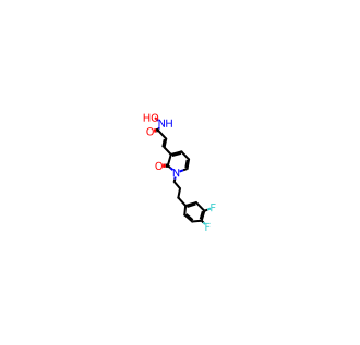 O=C(/C=C/c1cccn(CCCc2ccc(F)c(F)c2)c1=O)NO